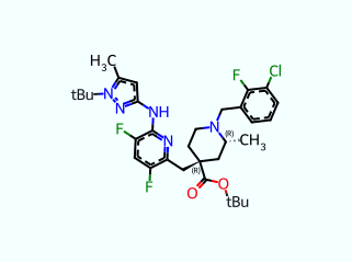 Cc1cc(Nc2nc(C[C@@]3(C(=O)OC(C)(C)C)CCN(Cc4cccc(Cl)c4F)[C@H](C)C3)c(F)cc2F)nn1C(C)(C)C